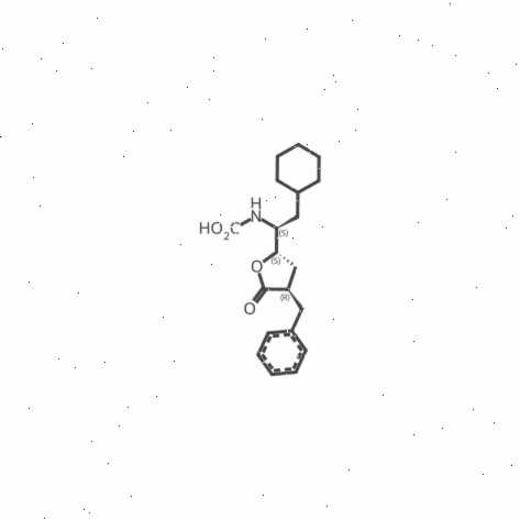 O=C(O)N[C@@H](CC1CCCCC1)[C@@H]1C[C@@H](Cc2ccccc2)C(=O)O1